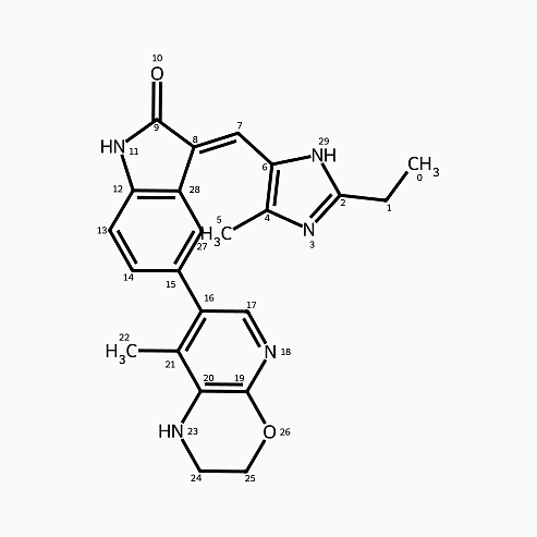 CCc1nc(C)c(C=C2C(=O)Nc3ccc(-c4cnc5c(c4C)NCCO5)cc32)[nH]1